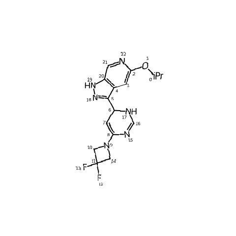 CC(C)Oc1cc2c(C3C=C(N4CC(F)(F)C4)N=CN3)n[nH]c2cn1